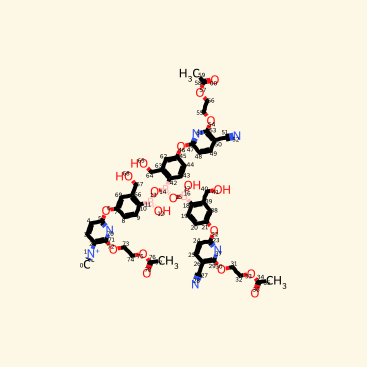 [C-]#[N+]c1ccc(Oc2ccc(B(O)OB(OB(O)c3ccc(Oc4ccc(C#N)c(OCCOC(C)=O)n4)cc3CO)c3ccc(Oc4ccc(C#N)c(OCCOC(C)=O)n4)cc3CO)c(CO)c2)nc1OCCOC(C)=O